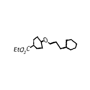 CCOC(=O)C1CCC(OCCCC2CCCCC2)CC1